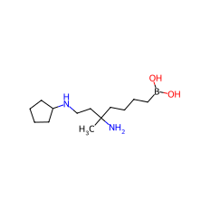 CC(N)(CCCCB(O)O)CCNC1CCCC1